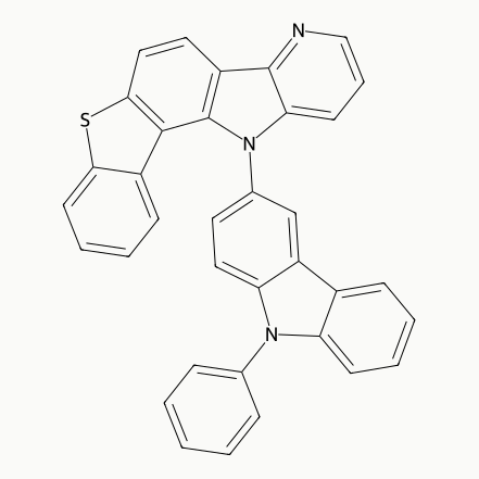 c1ccc(-n2c3ccccc3c3cc(-n4c5cccnc5c5ccc6sc7ccccc7c6c54)ccc32)cc1